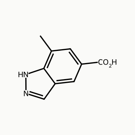 Cc1cc(C(=O)O)cc2cn[nH]c12